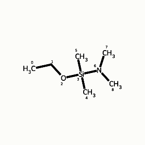 CCO[Si](C)(C)N(C)C